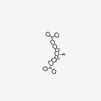 N#Cc1c2oc3cc4cc(N(c5ccccc5)c5ccccc5)ccc4cc3c2cc2c1oc1cc3cc(N(c4ccccc4)c4ccccc4)ccc3cc12